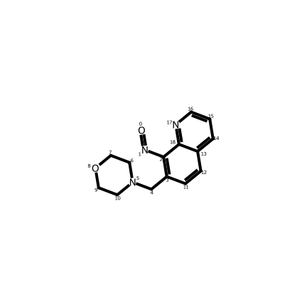 O=Nc1c(CN2CCOCC2)ccc2cccnc12